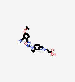 CC(C)Oc1ccc(-c2nc(N3CCc4cc(CNCCC(=O)O)ccc43)no2)c(C#N)c1